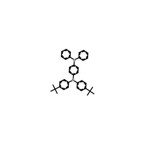 CC(C)(C)c1ccc(N(c2ccc(N(c3ccccc3)c3ccccc3)cc2)c2ccc(C(C)(C)C)cc2)cc1